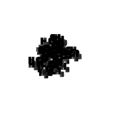 CC(C)(C)c1ccc2c(c1)B1c3ccccc3N(c3ccc(C(C)(C)C)cc3-c3ccccc3)c3cc(N4c5ccc(C(C)(C)C)cc5C5(C)CCC45C)cc(c31)N2c1ccc(C(C)(C)C)cc1-c1ccccc1